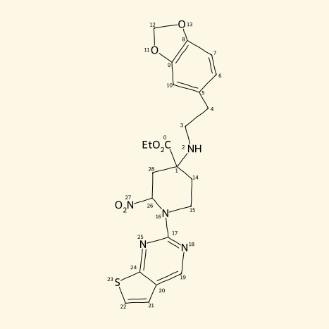 CCOC(=O)C1(NCCc2ccc3c(c2)OCO3)CCN(c2ncc3ccsc3n2)C([N+](=O)[O-])C1